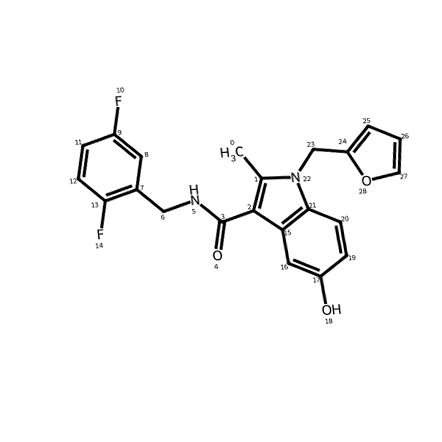 Cc1c(C(=O)NCc2cc(F)ccc2F)c2cc(O)ccc2n1Cc1ccco1